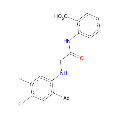 CC(=O)c1cc(Cl)c(C)cc1NCC(=O)Nc1ccccc1C(=O)O